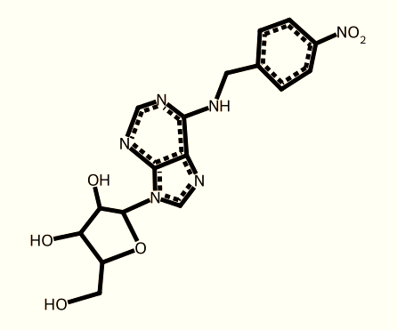 O=[N+]([O-])c1ccc(CNc2ncnc3c2ncn3C2OC(CO)C(O)C2O)cc1